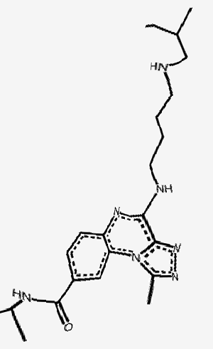 Cc1nnc2c(NCCCCNCC(C)C)nc3ccc(C(=O)NC(C)C)cc3n12